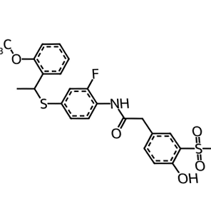 CC(Sc1ccc(NC(=O)Cc2ccc(O)c(S(C)(=O)=O)c2)c(F)c1)c1ccccc1OC(F)(F)F